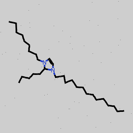 CCCCCCCCCCCCCCN1C=CN(CCCCCCCCC)C1CCCCC